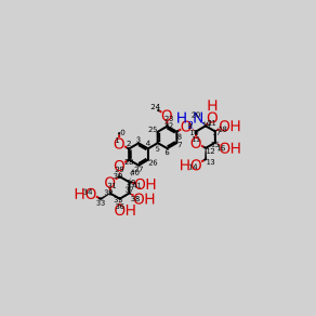 COc1cc(-c2ccc(O[C@H]3O[C@H](CO)[C@@H](O)[C@H](O)[C@]3(N)O)c(OC)c2)ccc1O[C@H]1O[C@H](CO)[C@@H](O)[C@H](O)[C@]1(C)O